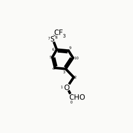 O=COCc1ccc(SC(F)(F)F)cc1